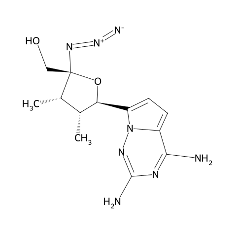 C[C@H]1[C@H](c2ccc3c(N)nc(N)nn23)O[C@@](CO)(N=[N+]=[N-])[C@H]1C